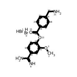 Br.Br.COc1cc(C(=N)N)ccc1OC(=O)c1ccc(CN)cc1